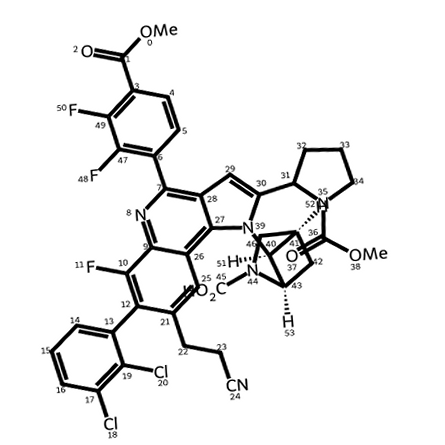 COC(=O)c1ccc(-c2nc3c(F)c(-c4cccc(Cl)c4Cl)c(CCC#N)cc3c3c2cc(C2CCCN2C(=O)OC)n3[C@H]2[C@@H]3C[C@H]2N(C(=O)O)C3)c(F)c1F